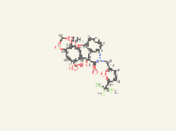 COc1cccc2c1C(O)(c1cc3c(cc1O)OCO3)C(=O)N2Cc1ccc(C(F)(F)F)o1